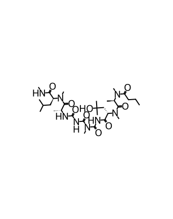 CCCC(=O)N(C)[C@H](C)C(=O)N(C)[C@@H](CC(C)(C)O)C(=O)NC(=O)N(C)C(=O)NC(=O)N[C@H](C)C(=O)N(C)[C@@H](CC(C)C)C(=O)NC